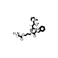 CO[C@H]([C@@H](C)C(=O)N[C@@H](Cc1ccccc1)C(=O)NCCCOC(=O)[C@H](C)N)[C@@H]1CCCN1C